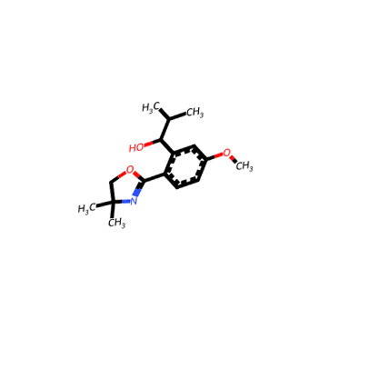 COc1ccc(C2=NC(C)(C)CO2)c(C(O)C(C)C)c1